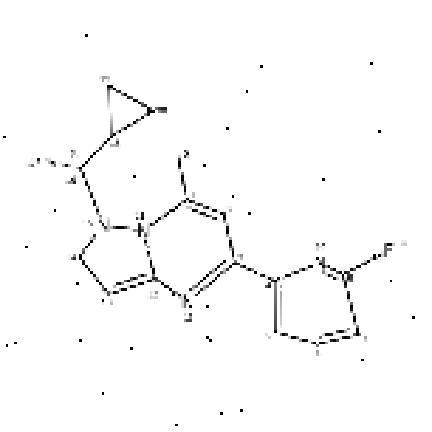 CC1=CC(c2cccc(F)n2)=NC2=CCN([C@H](C)C3CC3)N12